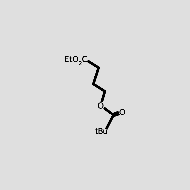 CCOC(=O)CCCOC(=O)C(C)(C)C